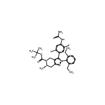 CCc1cccc(CC)c1-n1nc2c(c1-c1cc(F)c(NC(N)=O)cc1F)CN(C(=O)OC(C)(C)C)[C@H](C)C2